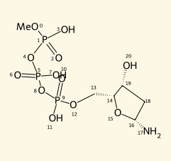 COP(=O)(O)OP(=O)(O)OP(=O)(O)OC[C@H]1O[C@@H](N)C[C@H]1O